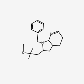 COC(C)(C)CC1CC2CCC=NC2N1Cc1ccccc1